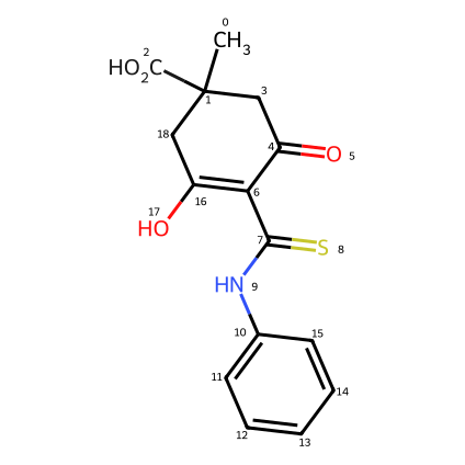 CC1(C(=O)O)CC(=O)C(C(=S)Nc2ccccc2)=C(O)C1